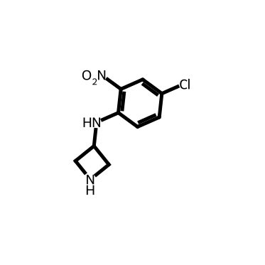 O=[N+]([O-])c1cc(Cl)ccc1NC1CNC1